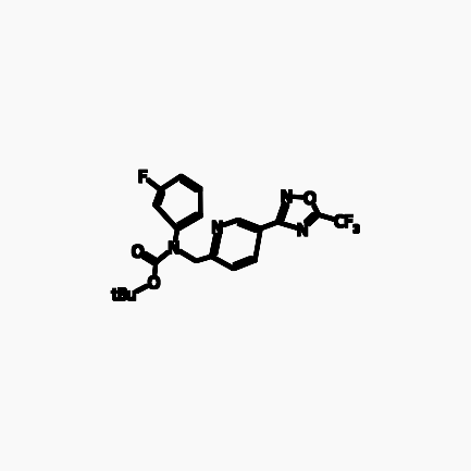 CC(C)(C)OC(=O)N(Cc1ccc(-c2noc(C(F)(F)F)n2)cn1)c1cccc(F)c1